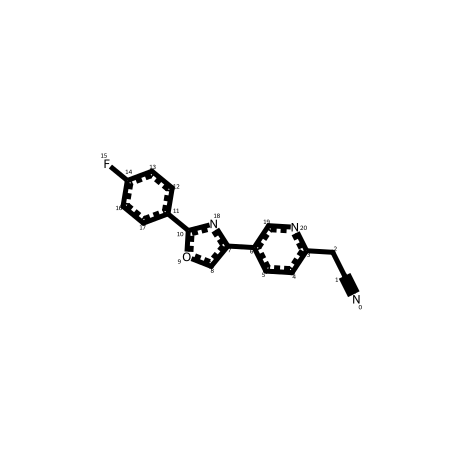 N#CCc1ccc(-c2coc(-c3ccc(F)cc3)n2)cn1